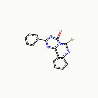 O=c1nc(-c2ccccc2)nc2c3ccccc3nc(Br)n12